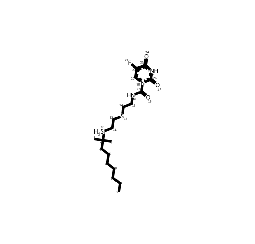 CCCCCCCC(C)(C)[SiH2]CCSCCNC(=O)n1cc(F)c(=O)[nH]c1=O